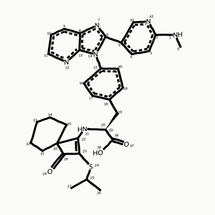 CNc1ccc(-c2nc3cccnc3n2-c2ccc(C[C@H](NC3=C(SC(C)C)C(=O)C34CCCCC4)C(=O)O)cc2)cn1